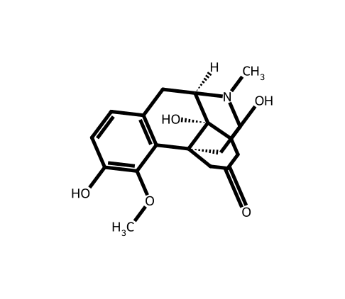 COc1c(O)ccc2c1[C@@]13CCN(C)[C@H](C2)[C@@]1(O)C(O)CC(=O)C3